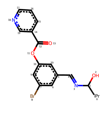 CC(C)C(O)/N=C/c1cc(Br)cc(OC(=O)c2cccnc2)c1